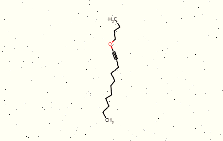 [CH2]CCCOC#CCCCCCCCCC